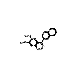 COc1cc2ncnc(-c3ccc4ccccc4c3)c2cc1OC